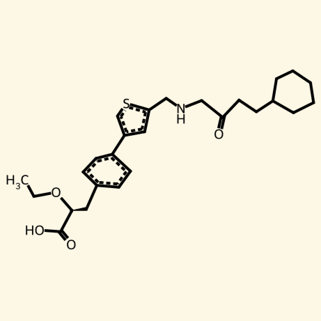 CCO[C@@H](Cc1ccc(-c2csc(CNCC(=O)CCC3CCCCC3)c2)cc1)C(=O)O